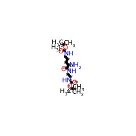 CC(C)(C)OC(=O)NCCC[C@H](N)C(=O)NCCNC(=O)OC(C)(C)C